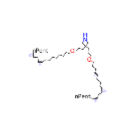 CCCCC/C=C\C/C=C\CCC/C=C/CCCOCCCC1(CCCOCCCCCCCC/C=C\C/C=C\CCCCC)CNC1